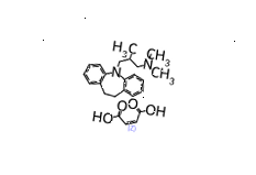 CC(CN(C)C)CN1c2ccccc2CCc2ccccc21.O=C(O)/C=C\C(=O)O